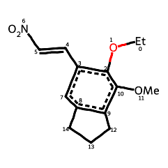 CCOc1c(C=C[N+](=O)[O-])cc2c(c1OC)CCC2